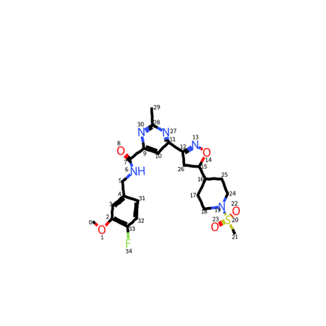 COc1cc(CNC(=O)c2cc(C3=NOC(C4CCN(S(C)(=O)=O)CC4)C3)nc(C)n2)ccc1F